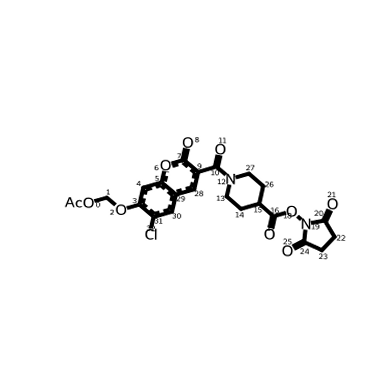 CC(=O)OCOc1cc2oc(=O)c(C(=O)N3CCC(C(=O)ON4C(=O)CCC4=O)CC3)cc2cc1Cl